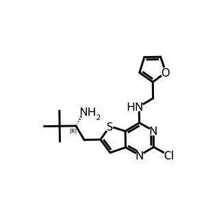 CC(C)(C)[C@H](N)Cc1cc2nc(Cl)nc(NCc3ccco3)c2s1